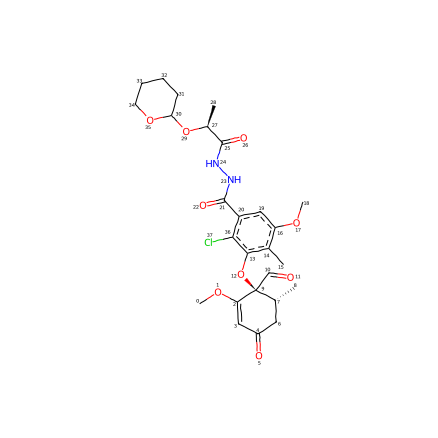 COC1=CC(=O)C[C@@H](C)[C@]1(C=O)Oc1c(C)c(OC)cc(C(=O)NNC(=O)[C@H](C)OC2CCCCO2)c1Cl